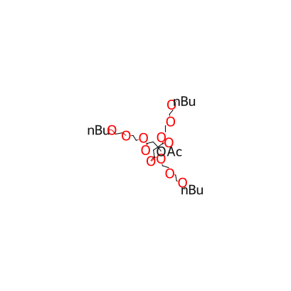 CCCCOCCOCCOC(=O)CC(CC(=O)OCCOCCOCCCC)(OC(C)=O)C(=O)OCCOCCOCCCC